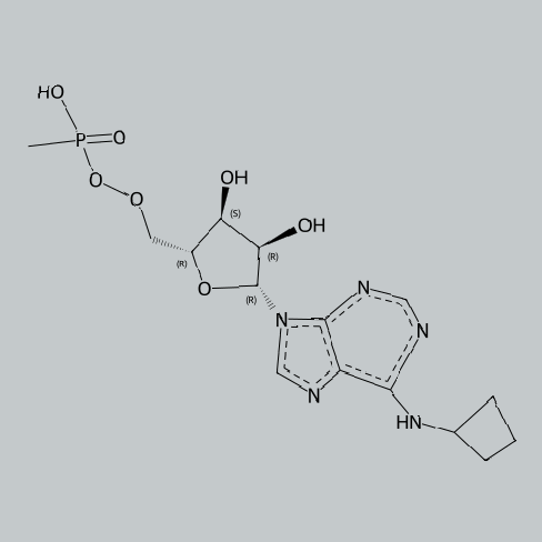 CP(=O)(O)OOC[C@H]1O[C@@H](n2cnc3c(NC4CCC4)ncnc32)[C@H](O)[C@@H]1O